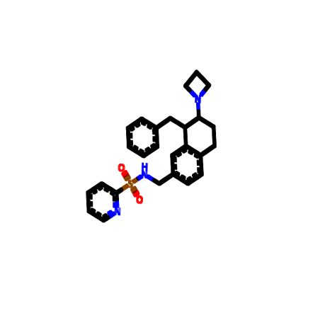 O=S(=O)(NCc1ccc2c(c1)C(Cc1ccccc1)C(N1CCC1)CC2)c1ccccn1